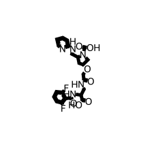 O=C(COC1CC(CNc2ccccn2)N(C(=O)O)C1)NCC(NC(=O)c1c(F)cccc1F)C(=O)O